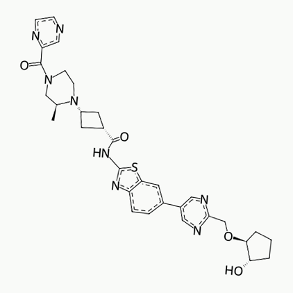 C[C@H]1CN(C(=O)c2cnccn2)CCN1[C@H]1C[C@@H](C(=O)Nc2nc3ccc(-c4cnc(CO[C@H]5CCC[C@@H]5O)nc4)cc3s2)C1